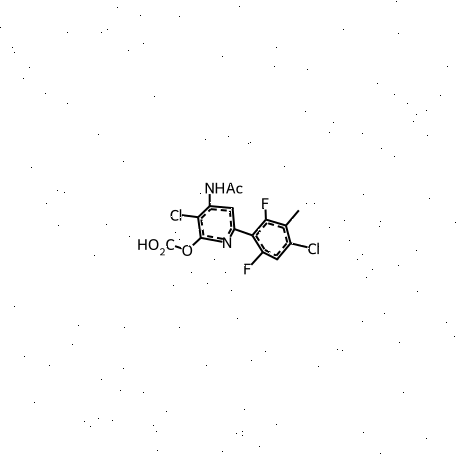 CC(=O)Nc1cc(-c2c(F)cc(Cl)c(C)c2F)nc(OC(=O)O)c1Cl